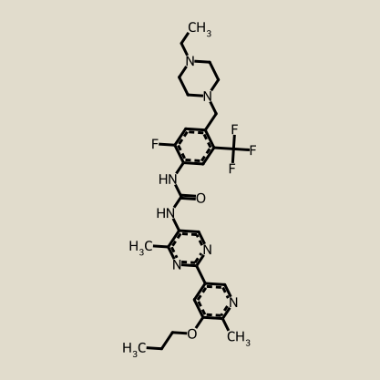 CCCOc1cc(-c2ncc(NC(=O)Nc3cc(C(F)(F)F)c(CN4CCN(CC)CC4)cc3F)c(C)n2)cnc1C